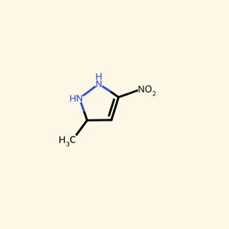 CC1C=C([N+](=O)[O-])NN1